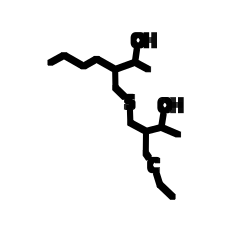 CCCCC(CSCC(CCCC)C(C)O)C(C)O